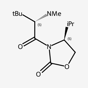 CN[C@H](C(=O)N1C(=O)OC[C@@H]1C(C)C)C(C)(C)C